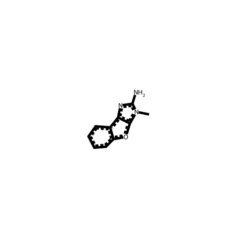 Cn1c(N)nc2c3ccccc3oc21